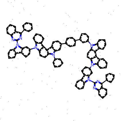 c1ccc(-c2nc(-n3c4ccccc4c4ccc(-n5c6ccccc6c6c7c8ccccc8n(-c8cccc(-c9ccc(-c%10ccc%11c%12c%13c%14ccccc%14n(-c%14ccc%15c%16ccccc%16n(-c%16nc(-c%17ccccc%17)c%17ccccc%17n%16)c%15c%14)c%13ccc%12n(-c%12ccccc%12)c%11c%10)cc9)c8)c7ccc65)cc43)nc3ccccc23)cc1